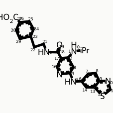 CC(C)Nc1cc(Nc2ccc3ncsc3c2)ncc1C(=O)NCCc1ccc(C(=O)O)cc1